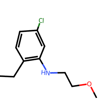 CCc1ccc(Cl)cc1NCCOC